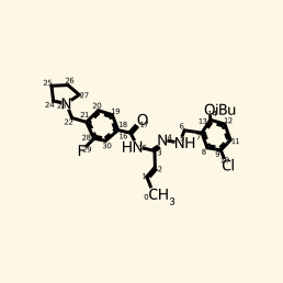 C/C=C/C(=N\NCc1cc(Cl)ccc1OCC(C)C)NC(=O)c1ccc(CN2CCCC2)c(F)c1